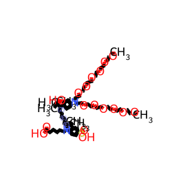 COCCOCCOCCOCCOCCOCCN(CCOCCOCCOCCOCCOCCOC)c1ccc(/C(=C\C/C=C/C=C2/N(CCCCCC(=O)O)c3ccc(S(=O)O)cc3C2(C)C)C(C)(C)C)c(O)c1